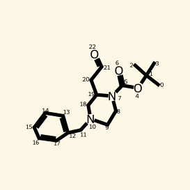 CC(C)(C)OC(=O)N1CCN(Cc2ccccc2)CC1CC=O